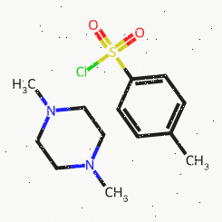 CN1CCN(C)CC1.Cc1ccc(S(=O)(=O)Cl)cc1